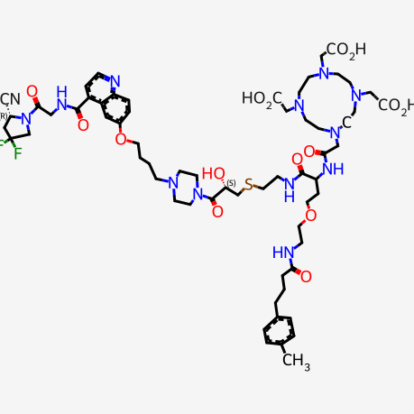 Cc1ccc(CCCC(=O)NCCOCCC(NC(=O)CN2CCN(CC(=O)O)CCN(CC(=O)O)CCN(CC(=O)O)CC2)C(=O)NCCSC[C@@H](O)C(=O)N2CCN(CCCCOc3ccc4nccc(C(=O)NCC(=O)N5CC(F)(F)C[C@@H]5C#N)c4c3)CC2)cc1